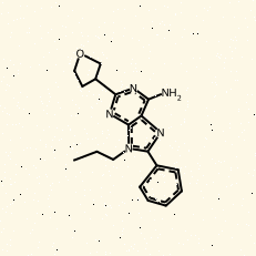 CCCn1c(-c2ccccc2)nc2c(N)nc(C3CCOC3)nc21